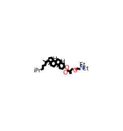 C=C(COCCN(CC)CC)C(=O)O[C@H]1CC[C@]2(C)C3CC[C@@]4(C)C(CC[C@@H]4[C@H](C)CCCC(C)C)[C@@H]3CC[C@H]2C1